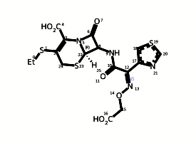 CCSC1=C(C(=O)O)N2C(=O)C(NC(=O)/C(=N\OCC(=O)O)c3cscn3)[C@H]2SC1